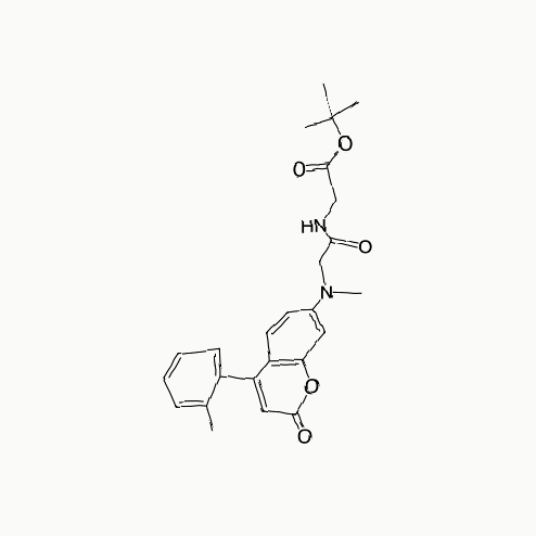 Cc1ccccc1-c1cc(=O)oc2cc(N(C)CC(=O)NCC(=O)OC(C)(C)C)ccc12